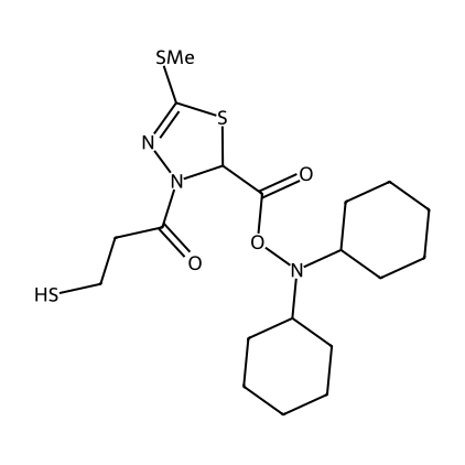 CSC1=NN(C(=O)CCS)C(C(=O)ON(C2CCCCC2)C2CCCCC2)S1